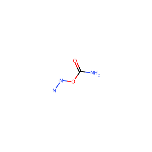 [N][N]OC(N)=O